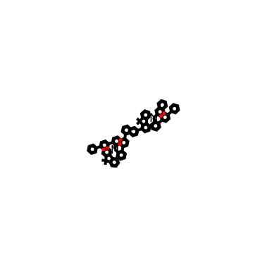 CC1(C)c2ccccc2-c2c(N(c3ccccc3-c3ccc(-c4ccccc4)cc3)c3ccccc3-c3ccc(-c4cccc5cc(-c6cccc7c6C(C)(C)c6cccc(N(c8ccc9ccccc9c8)c8ccccc8-c8ccc(-c9ccccc9)cc8)c6-7)ccc45)cc3)cccc21